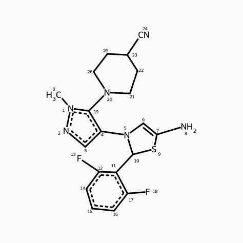 Cn1ncc(N2C=C(N)SC2c2c(F)cccc2F)c1N1CCC(C#N)CC1